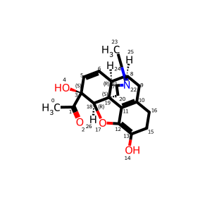 CC(=O)[C@]1(O)C=C[C@H]2[C@H]3CC4=C5C(=C(O)CC4)O[C@@H]1[C@]52CCN3C